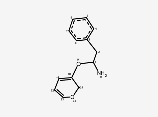 NC(Cc1ccccc1)OC1=CC=COC1